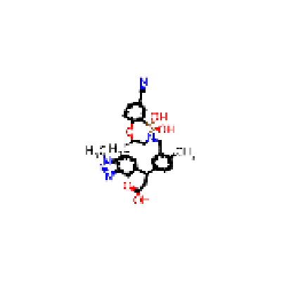 Cc1ccc(C(CC(=O)O)c2ccc3c(c2)nnn3C)cc1CN1CC(C)Oc2ccc(C#N)cc2S1(O)O